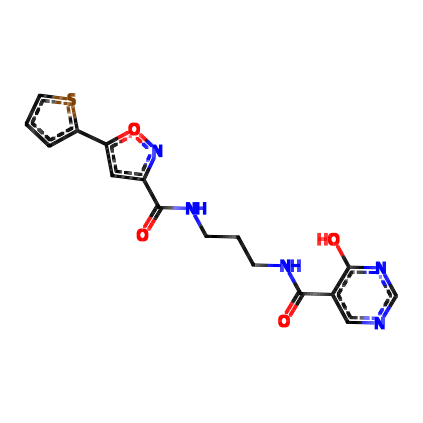 O=C(NCCCNC(=O)c1cncnc1O)c1cc(-c2cccs2)on1